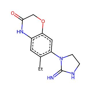 CCc1cc2c(cc1N1CCNC1=N)OCC(=O)N2